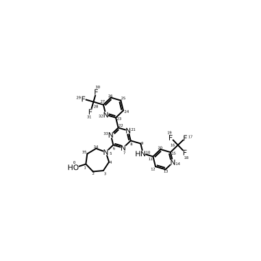 OC1CCCN(c2nc(CNc3ccnc(C(F)(F)F)c3)nc(-c3cccc(C(F)(F)F)n3)n2)CC1